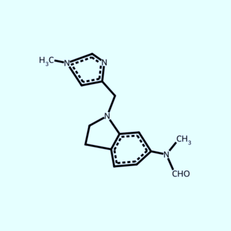 CN(C=O)c1ccc2c(c1)N(Cc1cn(C)cn1)CC2